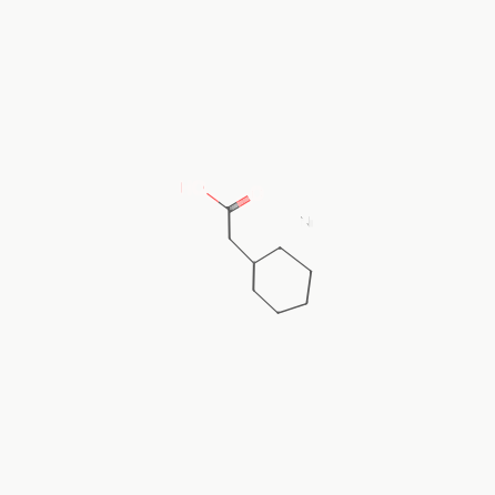 O=C(O)CC1CCCCC1.[Ni]